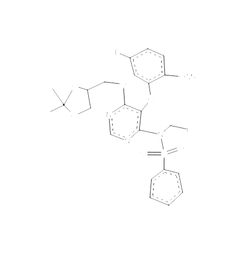 COc1ccc(F)cc1Oc1c(OCC2COC(C)(C)O2)ncnc1N(CC(C)C)S(=O)(=O)c1ccccc1